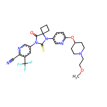 COCCN1CCC(Oc2ccc(N3C(=S)N(c4cnc(C#N)c(C(F)(F)F)c4)C(=O)C34CCC4)cn2)CC1